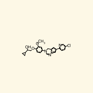 COc1cc(N2C=Nn3cc(-c4ccc(Cl)cn4)cc3C2)ccc1OCC(O)C1CC1